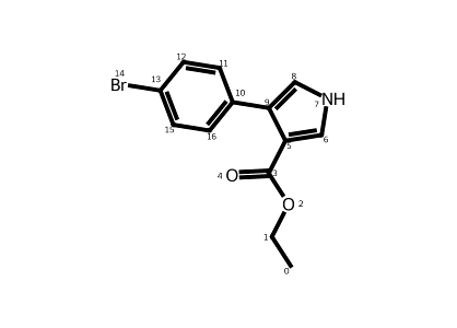 CCOC(=O)c1c[nH]cc1-c1ccc(Br)cc1